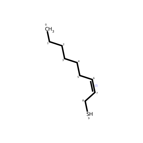 CCCCCC/C=C\CS